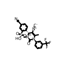 [C-]#[N+]C1=C(C)N(c2cccc(C(F)(F)F)c2)C(=O)N(C)[C@@H]1c1ccc(C#N)cc1S(=O)(=O)O